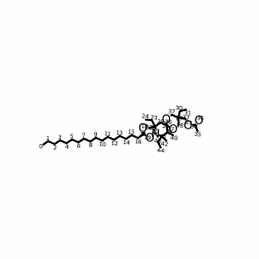 CCCCCCCCCCCCCCCCCC(=O)ON1C(C)(CC)CC2(OCC(CC)(COC(C)=O)CO2)C(C)C1(C)CC